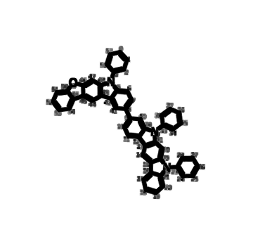 c1ccc(-n2c3ccc(-c4ccc5c6cc7c8ccccc8n(-c8ccccc8)c7cc6n(-c6ccccc6)c5c4)cc3c3cc4c(cc32)oc2ccccc24)cc1